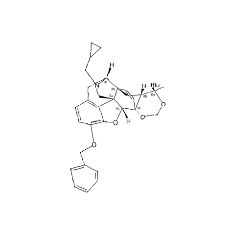 CC(C)(C)[C@@]1(C)OCO[C@]23C=C[C@@]4(C[C@@H]21)[C@H]1Cc2ccc(OCc5ccccc5)c5c2[C@@]4(CCN1CC1CC1)[C@H]3O5